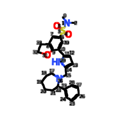 CN(C)S(=O)(=O)c1cc2c(c(-c3ccc(CN4CCCCC[C@@H]4c4ccccc4)[nH]3)c1)OCC2